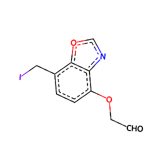 O=CCOc1ccc(CI)c2ocnc12